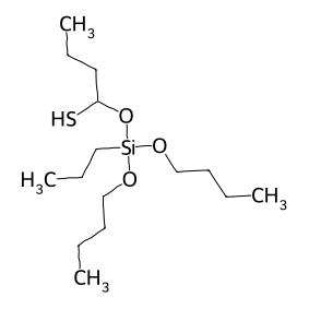 CCCCO[Si](CCC)(OCCCC)OC(S)CCC